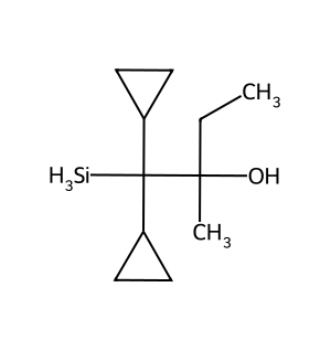 CCC(C)(O)C([SiH3])(C1CC1)C1CC1